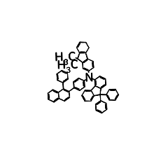 CC1(C)C2=C(CCC=C2)c2ccc(N(c3ccc(-c4ccc5ccccc5c4-c4ccccc4)cc3)c3cccc4c3-c3ccccc3C4(c3ccccc3)c3ccccc3)cc21